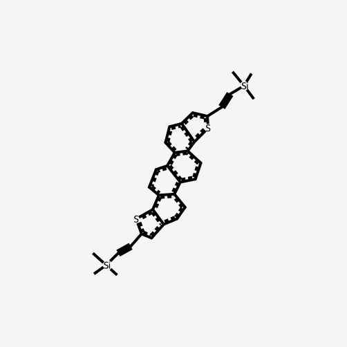 C[Si](C)(C)C#Cc1cc2ccc3c4ccc5c(ccc6cc(C#C[Si](C)(C)C)sc65)c4ccc3c2s1